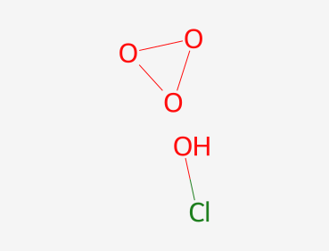 OCl.o1oo1